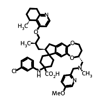 COc1ccc(CN(C)C[C@H]2CCOc3cc4c(cc3O2)C2(CCC(Nc3cccc(Cl)c3)(C(=O)O)CC2)[C@@H](C[C@@H](C)COc2ccnc3c2[C@H](C)CCC3)C4)nc1